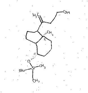 C=C(CCO)C1CCC2[C@@H](O[Si](C)(C)C(C)(C)C)CCC[C@]12C